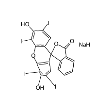 O=C1OC2(c3ccccc31)c1cc(I)c(O)c(I)c1Oc1c2cc(I)c(O)c1I.[NaH]